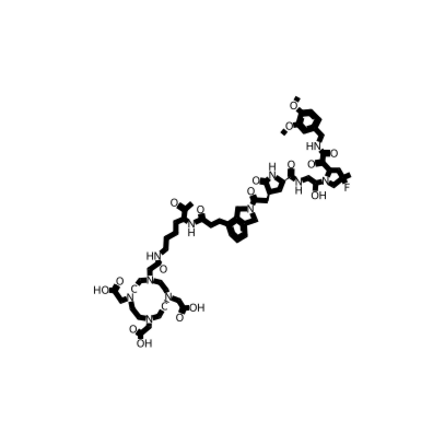 COc1ccc(CNC(=O)C(=O)C2CC(C)(F)CN2C(O)CNC(=O)[C@@H]2C[C@@H](CC(=O)N3Cc4cccc(CCC(=O)NC(CCCCNC(=O)CN5CCN(CC(=O)O)CCN(CC(=O)O)CCN(CC(=O)O)CC5)C(C)=O)c4C3)C(=O)N2)cc1OC